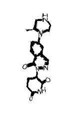 C[C@H]1CNCCN1c1ccc2c(=O)n(C3CCC(=O)NC3=O)ncc2c1